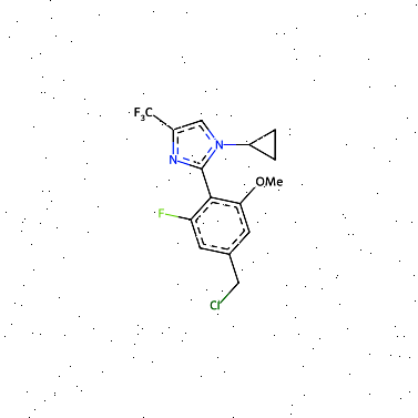 COc1cc(CCl)cc(F)c1-c1nc(C(F)(F)F)cn1C1CC1